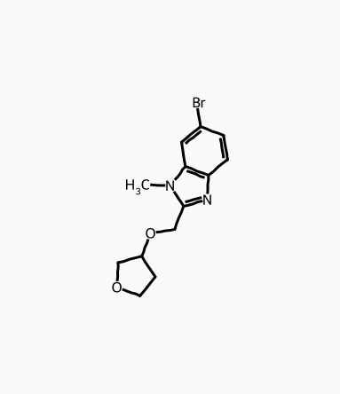 Cn1c(COC2CCOC2)nc2ccc(Br)cc21